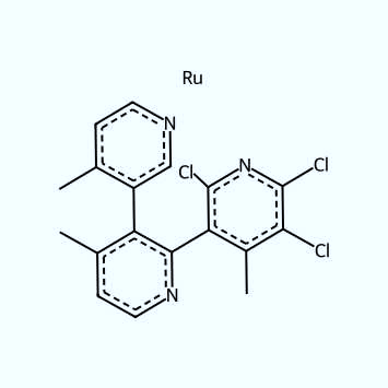 Cc1ccncc1-c1c(C)ccnc1-c1c(Cl)nc(Cl)c(Cl)c1C.[Ru]